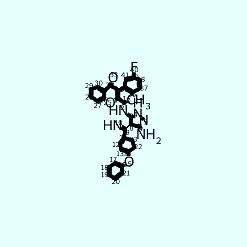 CC(NC1NN=C(N)[C@H]1C(=N)C1=CC=C(Oc2ccccc2)CC1)c1oc2ccccc2c(=O)c1-c1cccc(F)c1